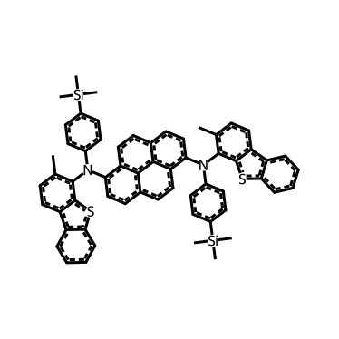 Cc1ccc2c(sc3ccccc32)c1N(c1ccc([Si](C)(C)C)cc1)c1ccc2ccc3c(N(c4ccc([Si](C)(C)C)cc4)c4c(C)ccc5c4sc4ccccc45)ccc4ccc1c2c43